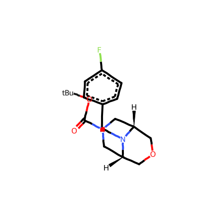 CC(C)(C)OC(=O)N1C[C@H]2COC[C@@H](C1)N2Cc1ccc(F)cc1